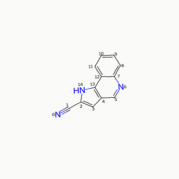 N#Cc1cc2cnc3ccccc3c2[nH]1